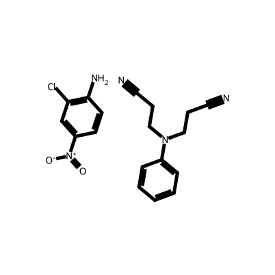 N#CCCN(CCC#N)c1ccccc1.Nc1ccc([N+](=O)[O-])cc1Cl